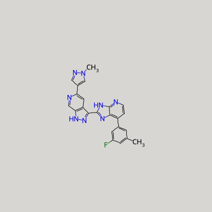 Cc1cc(F)cc(-c2ccnc3[nH]c(-c4n[nH]c5cnc(-c6cnn(C)c6)cc45)nc23)c1